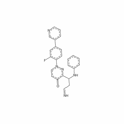 N=CCC(Nc1ccccc1)c1nn(-c2ccc(-c3cccnc3)cc2F)ccc1=O